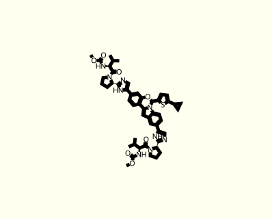 COC(=O)N[C@H](C(=O)N1CCC[C@H]1c1ncc(-c2ccc3c(c2)OC(c2ccc(C4CC4)s2)n2c-3cc3cc(-c4cnc([C@@H]5CCCN5C(=O)[C@@H](NC(=O)OC)C(C)C)[nH]4)ccc32)[nH]1)C(C)C